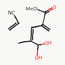 C=C(C=C(C)C(O)O)C(=O)OC.C=CC#N